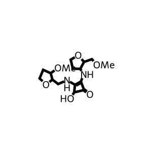 COCC1OCCC1NC1=C(NCC2OCCC2OC)C(O)C1=O